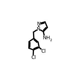 Nc1ccnn1Cc1ccc(Cl)c(Cl)c1